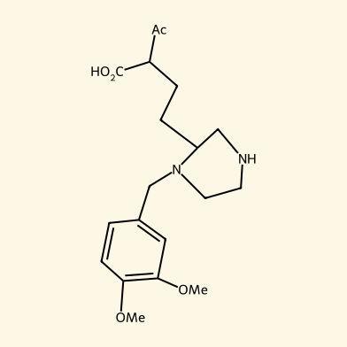 COc1ccc(CN2CCNCC2CCC(C(C)=O)C(=O)O)cc1OC